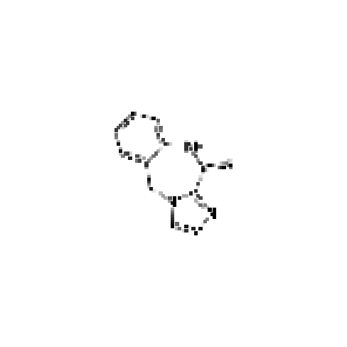 S=C1Nc2ccccc2Cn2ccnc21